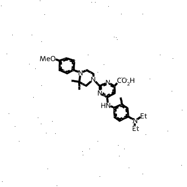 CCN(CC)c1ccc(Nc2cc(C(=O)O)nc(N3CCN(c4ccc(OC)cc4)C(C)(C)C3)n2)c(C)c1